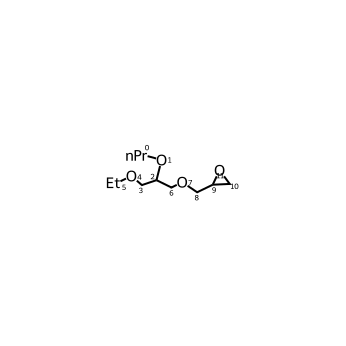 CCCOC(COCC)COCC1CO1